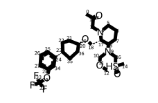 CC(=O)CN1CCCC(N2COC[SH](C)(=O)C2)[C@@H]1CO[C@H]1CC[C@@H](c2cccc(OC(F)(F)F)c2)CC1